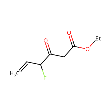 C=CC(F)C(=O)CC(=O)OCC